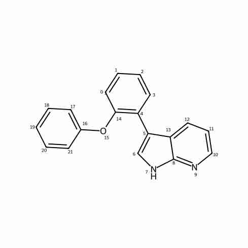 [c]1cccc(-c2c[nH]c3ncccc23)c1Oc1ccccc1